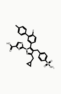 Cc1ccc(-c2cc(-c3c(Cc4ccc(S(N)(=O)=O)cc4)c(CC4CC4)nn3-c3nc(C(=O)O)cs3)ccc2F)cc1